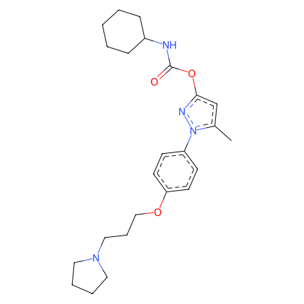 Cc1cc(OC(=O)NC2CCCCC2)nn1-c1ccc(OCCCN2CCCC2)cc1